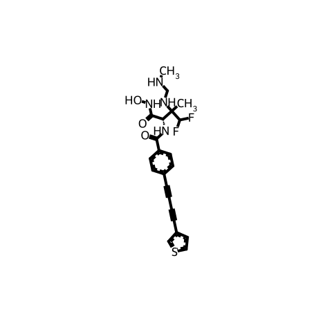 CNCNC(C)(C(F)F)[C@H](NC(=O)c1ccc(C#CC#Cc2ccsc2)cc1)C(=O)NO